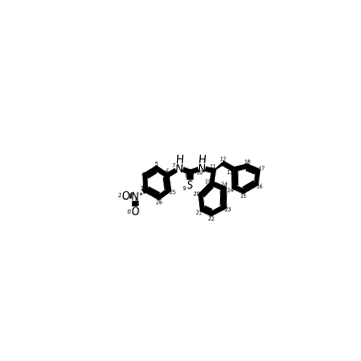 O=[N+]([O-])c1ccc(NC(=S)N[C@@H](Cc2ccccc2)c2ccccc2)cc1